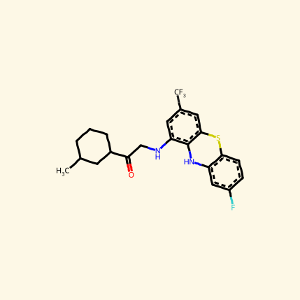 CC1CCCC(C(=O)CNc2cc(C(F)(F)F)cc3c2Nc2cc(F)ccc2S3)C1